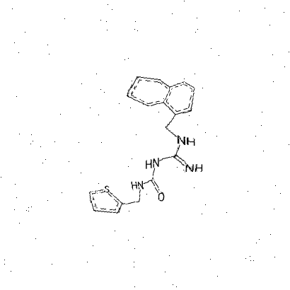 N=C(NCc1cccc2ccccc12)NC(=O)NCc1cccs1